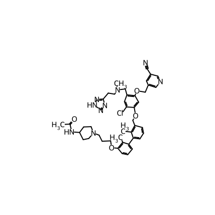 CC(=O)NC1CCN(CCCOc2cccc(-c3cccc(COc4cc(OCc5cncc(C#N)c5)c(CN(C)CCc5nn[nH]n5)cc4Cl)c3C)c2C)CC1